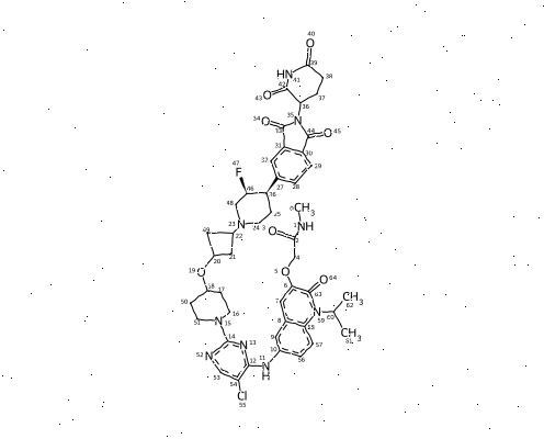 CNC(=O)COc1cc2cc(Nc3nc(N4CCC(OC5CC(N6CC[C@H](c7ccc8c(c7)C(=O)N(C7CCC(=O)NC7=O)C8=O)[C@H](F)C6)C5)CC4)ncc3Cl)ccc2n(C(C)C)c1=O